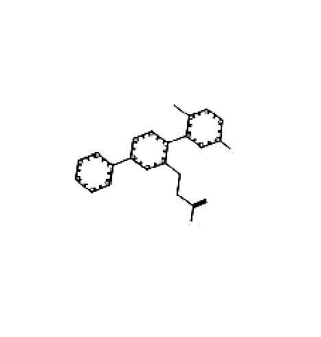 Cc1ccc(O)cc1-c1ccc(-c2ccccc2)cc1CCC(N)=O